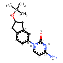 CC(C)(C)[Si](C)(C)OC1Cc2ccc(-n3ccc(N)nc3=O)cc2C1